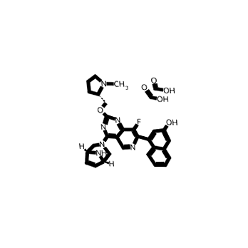 CN1CCC[C@H]1COc1nc(N2C[C@H]3C=C[C@@H](C2)N3)c2cnc(-c3cc(O)cc4ccccc34)c(F)c2n1.O=CO.O=CO